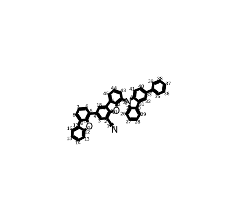 N#Cc1cc(-c2cccc3c2oc2ccccc23)cc2c1oc1c(-n3c4ccccc4c4cc(-c5ccccc5)ccc43)cccc12